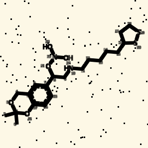 CC1(C)OCc2cc(C(CNCCCCCC3CCSS3)ON(O)O)ccc2O1